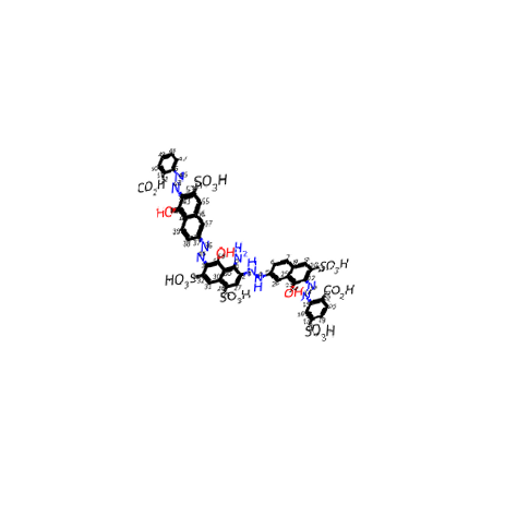 Nc1c(NNc2ccc3cc(S(=O)(=O)O)c(N=Nc4cc(S(=O)(=O)O)ccc4C(=O)O)c(O)c3c2)cc(S(=O)(=O)O)c2cc(S(=O)(=O)O)c(N=Nc3ccc4c(O)c(N=Nc5ccccc5C(=O)O)c(S(=O)(=O)O)cc4c3)c(O)c12